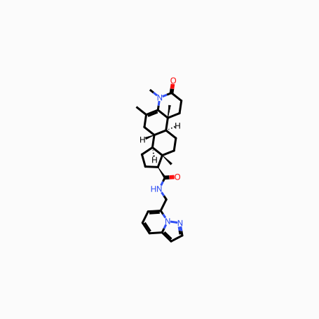 CC1=C2N(C)C(=O)CC[C@]2(C)[C@H]2CC[C@]3(C)[C@@H](C(=O)NCc4cccc5ccnn45)CC[C@H]3[C@@H]2C1